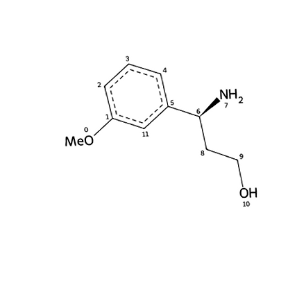 COc1cccc([C@@H](N)CCO)c1